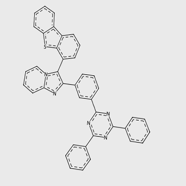 c1ccc(-c2nc(-c3ccccc3)nc(-c3cccc(-c4nc5ccccn5c4-c4cccc5c4sc4ccccc45)c3)n2)cc1